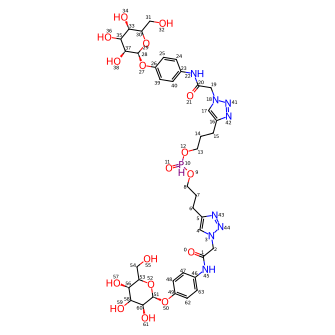 O=C(Cn1cc(CCCO[PH](=O)OCCCc2cn(CC(=O)Nc3ccc(O[C@@H]4OC(CO)[C@H](O)C(O)[C@@H]4O)cc3)nn2)nn1)Nc1ccc(O[C@@H]2OC(CO)[C@H](O)C(O)[C@@H]2O)cc1